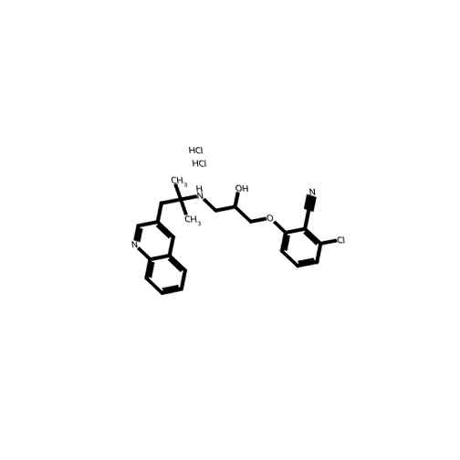 CC(C)(Cc1cnc2ccccc2c1)NCC(O)COc1cccc(Cl)c1C#N.Cl.Cl